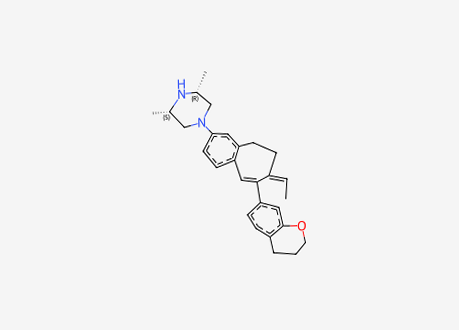 CC=C1CCc2cc(N3C[C@@H](C)N[C@@H](C)C3)ccc2C=C1c1ccc2c(c1)OCCC2